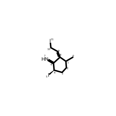 CC1CC[C@@H](I)C(=N)/C1=C\CI